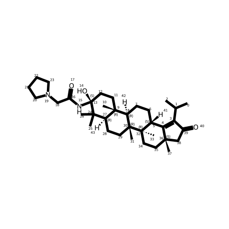 CC(C)C1=C2[C@H]3CC[C@@H]4[C@@]5(C)CC[C@@](O)(NC(=O)CN6CCCC6)C(C)(C)[C@@H]5CC[C@@]4(C)[C@]3(C)CC[C@@]2(C)CC1=O